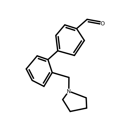 O=Cc1ccc(-c2ccccc2CN2CCCC2)cc1